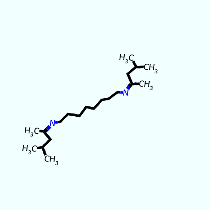 C/C(CC(C)C)=N/CCCCCCCC/N=C(/C)CC(C)C